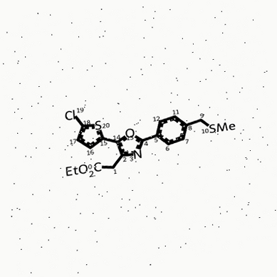 CCOC(=O)Cc1nc(-c2ccc(CSC)cc2)oc1-c1ccc(Cl)s1